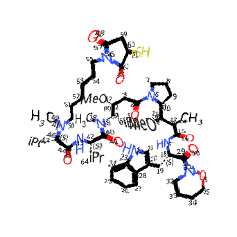 CC[C@H](C)[C@@H]([C@@H](CC(=O)N1CCC[C@H]1[C@H](OC)[C@@H](C)C(=O)N[C@@H](Cc1c[nH]c2ccccc12)C(=O)N1CCCCO1)OC)N(C)C(=O)[C@@H](NC(=O)[C@H](C(C)C)N(C)CCCCCCN1C(=O)CC(S)C1=O)C(C)C